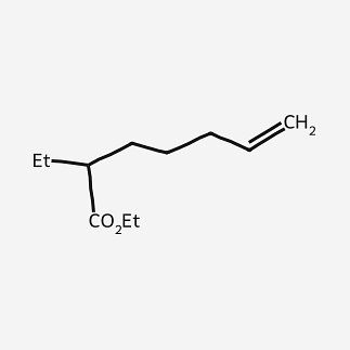 C=CCCCC(CC)C(=O)OCC